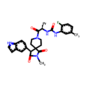 CC(C)[C@@H](NC(=O)Nc1cc(C(F)(F)F)ccc1F)C(=O)N1CCC2(CC1)C(=O)N(C)C(=O)C2c1ccc2[nH]ccc2c1